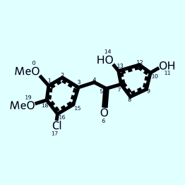 COc1cc(CC(=O)c2ccc(O)cc2O)cc(Cl)c1OC